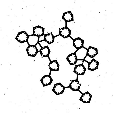 c1ccc(-c2cccc(-c3ccc(C4(c5ccc(-c6cc(-c7ccc8c(c7)-c7ccccc7C(c7ccccc7)(c7ccc(-c9nc(-c%10ccccc%10)cc(-c%10ccccc%10)n9)cc7)c7ccccc7-8)cc(-c7ccccc7)n6)nc5)c5ccccc5-c5ccccc5-c5ccccc54)cn3)n2)cc1